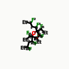 CCC(F)CC(F)C(OC(C(F)CC)(C(F)CC)C(F)CC(F)CC)(C(F)CC)C(F)CC